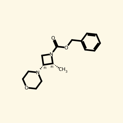 C[C@@H]1[C@H](N2CCOCC2)CN1C(=O)OCc1ccccc1